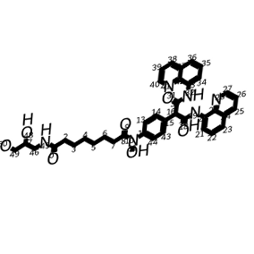 O=C(CCCCCCC(=O)N(O)c1ccc(C(C(=O)Nc2cccc3cccnc23)C(=O)Nc2cccc3cccnc23)cc1)NCC(O)CO